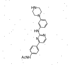 CC(=O)Nc1ccc(-c2ccnc(Nc3cccc(N4CCNCC4)c3)n2)cc1